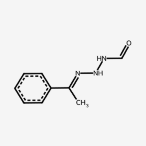 CC(=NNNC=O)c1ccccc1